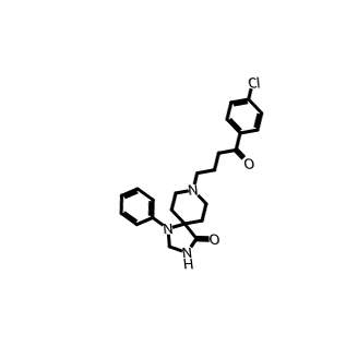 O=C(CCCN1CCC2(CC1)C(=O)NCN2c1ccccc1)c1ccc(Cl)cc1